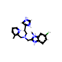 Cc1cccnc1CN(CCc1c[nH]cn1)Cc1nc2ccc(F)cc2n1C